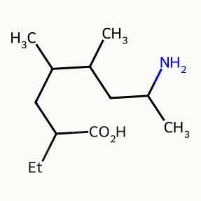 CCC(CC(C)C(C)CC(C)N)C(=O)O